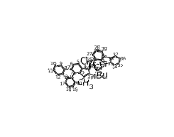 CCC(C)C1=Cc2c(ccc(-c3ccccc3)c2-c2ccccc2C)[CH]1[Zr]([Cl])([Cl])[c]1cccc2c1[SiH2]c1ccccc1-2